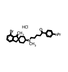 C=C1c2c(Br)cccc2CC12CCC(N(C)CCCCC(=O)c1ccc(CCC)cc1)CC2.Cl